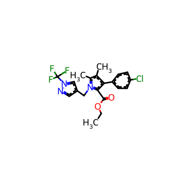 CCOC(=O)c1c(-c2ccc(Cl)cc2)c(C)c(C)n1Cc1cnn(C(F)(F)F)c1